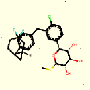 CS[C@H]1O[C@@H](c2ccc(Cl)c(Cc3ccc([C@@]45CCC(F)(F)C[C@@H]4C5)cc3)c2)[C@H](O)[C@@H](O)[C@@H]1O